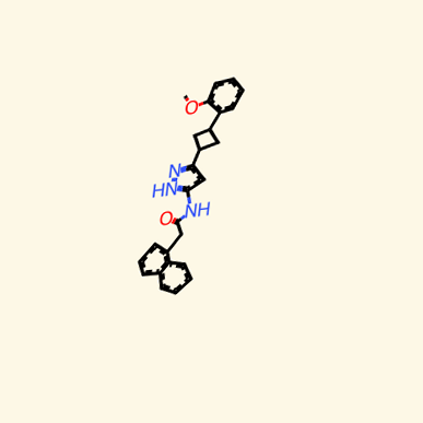 COc1ccccc1C1CC(c2cc(NC(=O)Cc3cccc4ccccc34)[nH]n2)C1